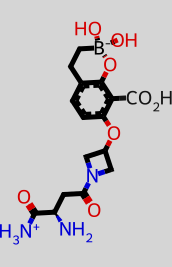 N[C@H](CC(=O)N1CC(Oc2ccc3c(c2C(=O)O)O[B-](O)(O)CC3)C1)C([NH3+])=O